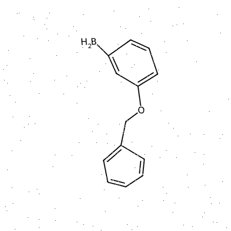 Bc1cccc(OCc2ccccc2)c1